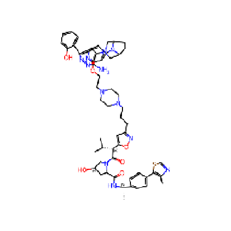 Cc1ncsc1-c1ccc([C@H](C)NC(=O)C2C[C@@H](O)CN2C(=O)[C@@H](c2cc(CCCN3CCN(CCOc4cc(N5C6CCC5CN(c5cc(-c7ccccc7O)nnc5N)C6)ccn4)CC3)no2)C(C)C)cc1